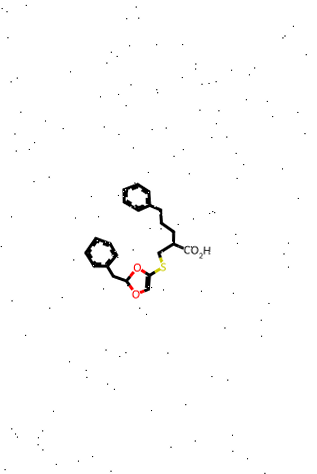 O=C(O)C(CCCc1ccccc1)CSC1=COC(Cc2ccccc2)O1